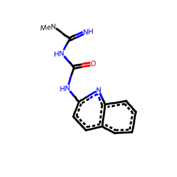 CNC(=N)NC(=O)Nc1ccc2ccccc2n1